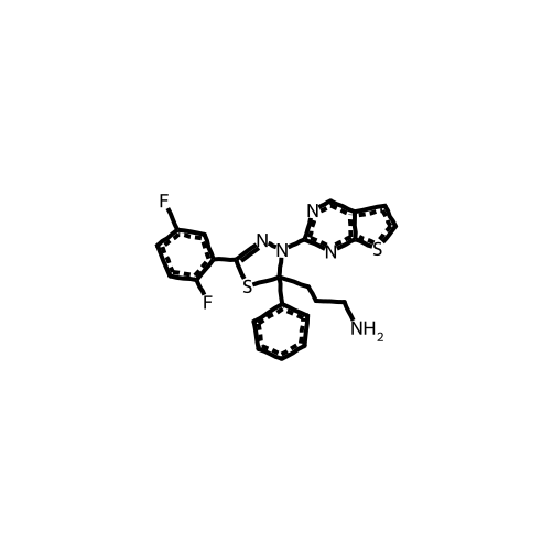 NCCCC1(c2ccccc2)SC(c2cc(F)ccc2F)=NN1c1ncc2ccsc2n1